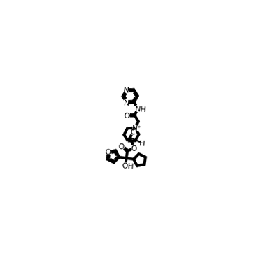 O=C(C[N+]12CCC(CC1)[C@@H](OC(=O)C(O)(c1ccoc1)C1CCCC1)C2)Nc1ccncn1